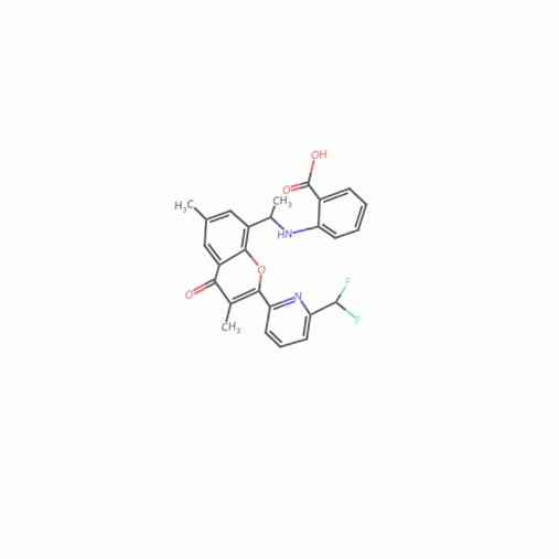 Cc1cc(C(C)Nc2ccccc2C(=O)O)c2oc(-c3cccc(C(F)F)n3)c(C)c(=O)c2c1